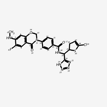 CNc1cc2c(cc1F)C(=O)N(c1ccc(C(=O)NC(c3nnn[nH]3)C3CC=C(Cl)S3)cc1)CO2